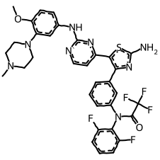 COc1ccc(Nc2nccc(-c3sc(N)nc3-c3cccc(N(C(=O)C(F)(F)F)c4c(F)cccc4F)c3)n2)cc1N1CCN(C)CC1